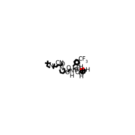 CC1(C)CCN(C(C)(C)C=C(C#N)C(=O)N2CCC[C@H](OC(=O)N[C@@H](Cc3ccc(C(F)(F)F)cc3)B3O[C@@H]4C[C@@H]5C[C@@H](C5(C)C)[C@]4(C)O3)C2)C1